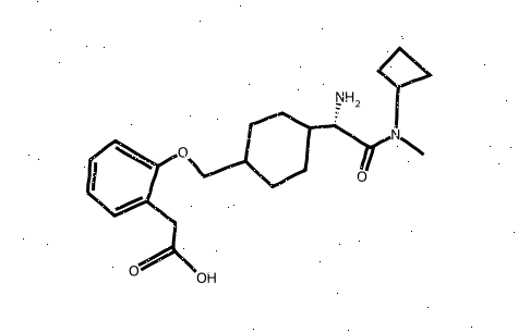 CN(C(=O)[C@@H](N)C1CCC(COc2ccccc2CC(=O)O)CC1)C1CCC1